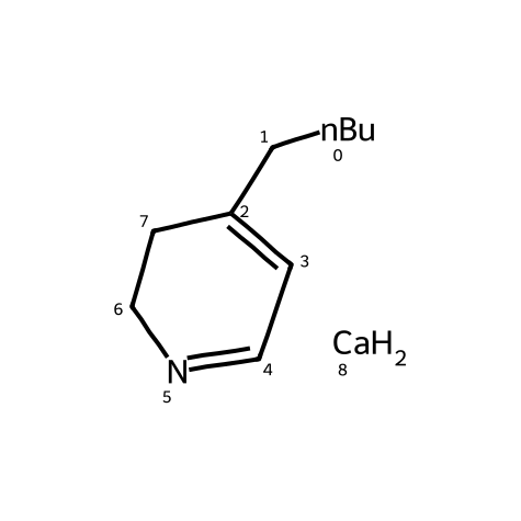 CCCCCC1=CC=NCC1.[CaH2]